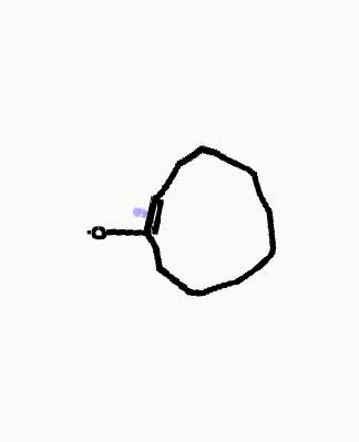 [O]/C1=C/CCCCCCCC1